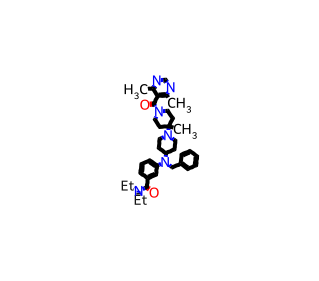 CCN(CC)C(=O)c1cccc(N(Cc2ccccc2)C2CCN(C3(C)CCN(C(=O)c4c(C)ncnc4C)CC3)CC2)c1